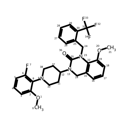 COc1cccc(F)c1N1CCC(N2Cc3cccc(OC)c3N(Cc3ccccc3C(F)(F)F)C2=O)CC1